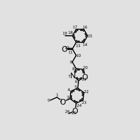 CCOc1cc(-c2nc(CCC(=O)c3ccccc3C)co2)ccc1OC